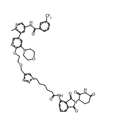 Cc1ncc(NC(=O)c2cccc(C(F)(F)F)c2)cc1-c1cnc(OCCOCc2cn(CCCCCC(=O)Nc3cccc4c3C(=O)N(C3CCC(=O)NC3=O)C4=O)nn2)c(N2CCOCC2)c1